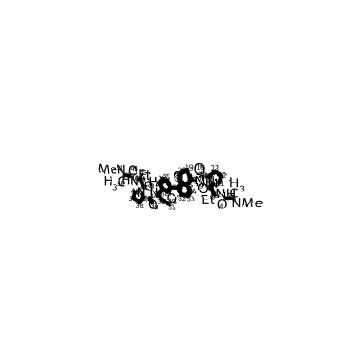 CC[C@H](NC(=O)[C@H](C)NC)C(=O)N1CCC[C@H]1C(=O)N[C@@H]1CCOc2c(-c3cccc4c3OCC[C@H]4NC(=O)[C@@H]3CCCN3C(=O)[C@H](CC)NC(=O)[C@H](C)NC)cccc21